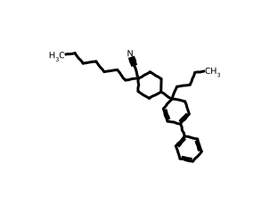 CCCCCCCC1(C#N)CCC(C2(CCCC)C=CC(c3ccccc3)=CC2)CC1